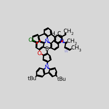 C=CC(=C)N(C(=C)/C=C\C)c1ccc2c(c1)N(c1c(-c3ccccc3)cccc1-c1ccccc1)c1cc(Cl)cc3c1B2c1ccc(-n2c4ccc(C(C)(C)C)cc4c4cc(C(C)(C)C)ccc42)cc1O3